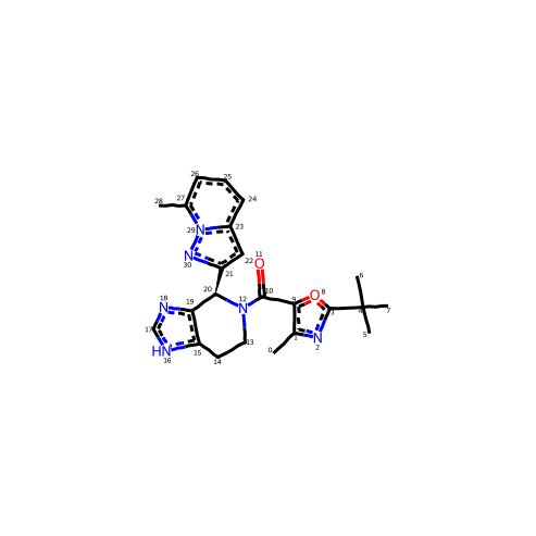 Cc1nc(C(C)(C)C)oc1C(=O)N1CCc2[nH]cnc2[C@H]1c1cc2cccc(C)n2n1